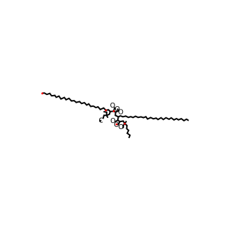 CCCCCCCCCCCCCCCCCCCCCCCCCCCCC(CC(C)(CC)CCCC)C1C(=O)OC(=O)C1CC(CCCCCCCCCCCCCCCCCCCCCCCCCCCC)C1C(=O)OC(=O)C1CC(C)(CC)CCCCCC